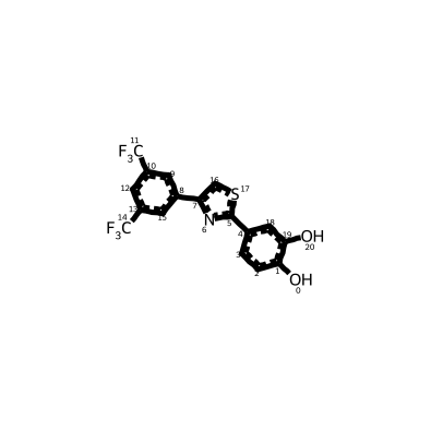 Oc1ccc(-c2nc(-c3cc(C(F)(F)F)cc(C(F)(F)F)c3)cs2)cc1O